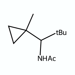 CC(=O)NC(C(C)(C)C)C1(C)CC1